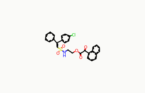 O=C(OCCNS(=O)(=O)C=C(c1ccccc1)c1ccc(Cl)cc1)C(=O)c1cccc2ccccc12